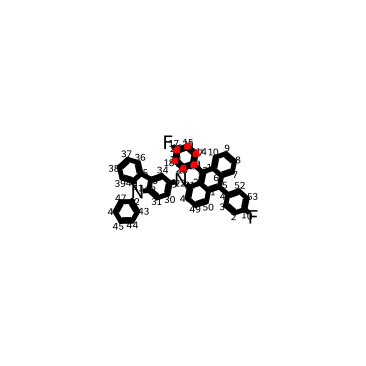 Fc1ccc(-c2c3ccccc3c(-c3ccc(F)cc3)c3c(N(c4ccccc4)c4ccc5c(c4)c4ccccc4n5-c4ccccc4)cccc23)cc1